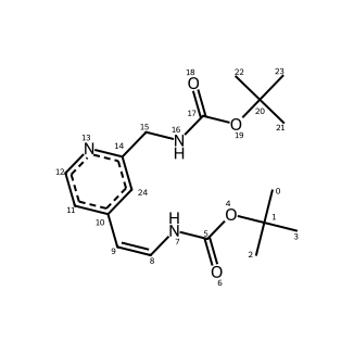 CC(C)(C)OC(=O)N/C=C\c1ccnc(CNC(=O)OC(C)(C)C)c1